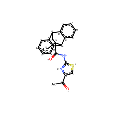 CC(=O)C(=O)c1csc(NC(=O)C2(C)CC3c4ccccc4C2c2ccccc23)n1